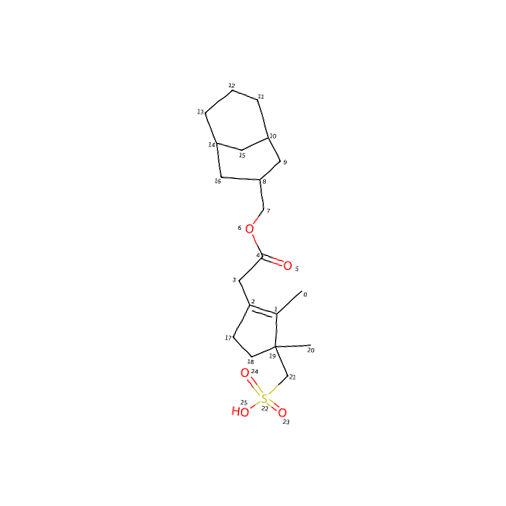 CC1=C(CC(=O)OCC2CC3CCCC(C3)C2)CCC1(C)CS(=O)(=O)O